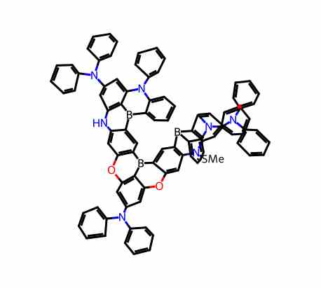 CSN1c2cc3c(cc2B2c4ccccc4N(c4ccccc4)c4cc(N(c5ccccc5)c5ccccc5)cc1c42)B1c2cc4c(cc2Oc2cc(N(c5ccccc5)c5ccccc5)cc(c21)O3)Nc1cc(N(c2ccccc2)c2ccccc2)cc2c1B4c1ccccc1N2c1ccccc1